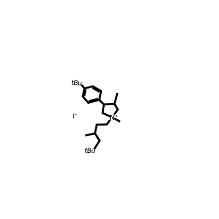 CC(CC[N+]1(C)CC(C)C(c2ccc(C(C)(C)C)cc2)C1)CC(C)(C)C.[I-]